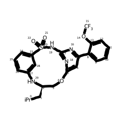 CC(C)C[C@@H]1COc2cc(-c3ccccc3OC(F)(F)F)nc(n2)NS(=O)(=O)c2cccc(c2)N1